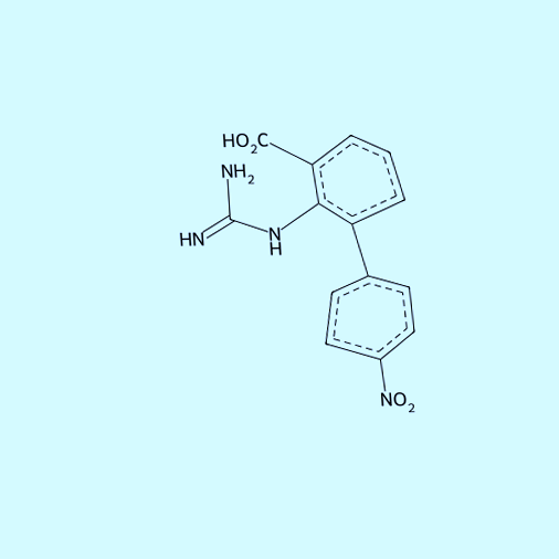 N=C(N)Nc1c(C(=O)O)cccc1-c1ccc([N+](=O)[O-])cc1